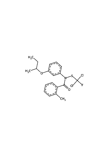 CCC(C)Oc1cccc(N(SC(F)(Cl)Cl)C(=O)c2ccccc2C)c1